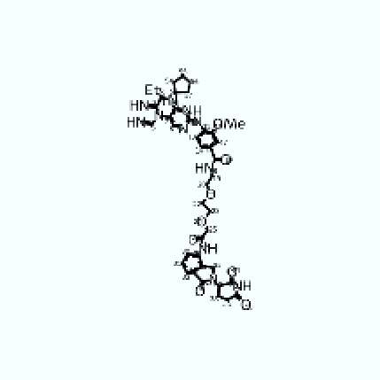 CC[C@@H]1C(=N)N(C=N)c2cnc(Nc3ccc(C(=O)NCCOCCOCC(=O)Nc4cccc5c4CN(C4CCC(=O)NC4=O)C5=O)cc3OC)nc2N1C1CCCC1